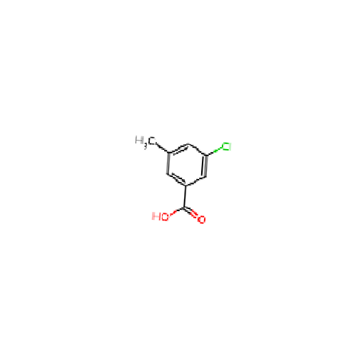 Cc1cc(Cl)cc(C(=O)O)c1